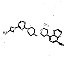 C[C@@H]1CN(c2ccc(C#N)c3nccnc23)C[C@H](CN2CCN(c3nccc(N4CC(N)C4)n3)CC2)O1